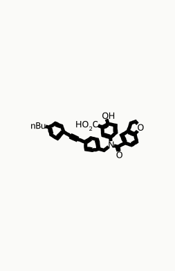 CCCCc1ccc(C#Cc2ccc(CN(C(=O)c3ccc4c(c3)CCO4)c3ccc(O)c(C(=O)O)c3)cc2)cc1